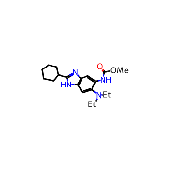 CCN(CC)c1cc2[nH]c(C3CCCCC3)nc2cc1NC(=O)OC